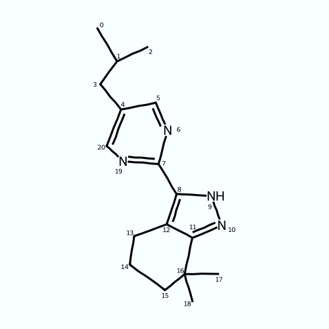 CC(C)Cc1cnc(-c2[nH]nc3c2CCCC3(C)C)nc1